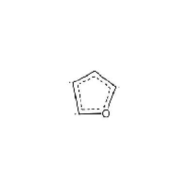 [c]1[c]o[c]c1